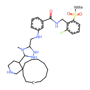 CNS(=O)(=O)c1cccc(F)c1CNC(=O)c1cccc(NCC2NNC(C3CCNCC34CCCCCCCCCC4)N2C)c1